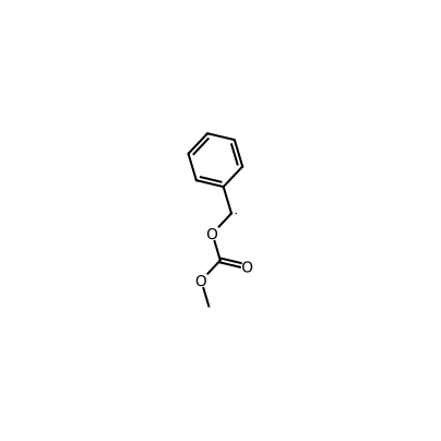 COC(=O)O[CH]c1ccccc1